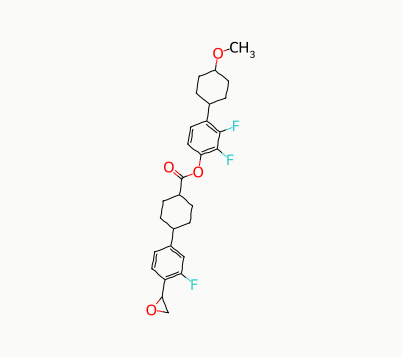 COC1CCC(c2ccc(OC(=O)C3CCC(c4ccc(C5CO5)c(F)c4)CC3)c(F)c2F)CC1